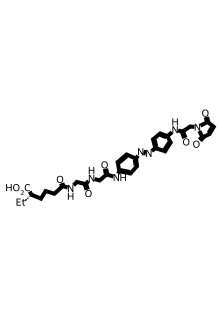 CC[C@@H](CCCC(=O)NCC(=O)NCC(=O)Nc1ccc(/N=N/c2ccc(NC(=O)CN3C(=O)C=CC3=O)cc2)cc1)C(=O)O